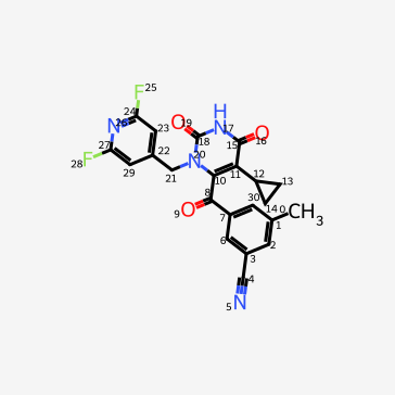 Cc1cc(C#N)cc(C(=O)c2c(C3CC3)c(=O)[nH]c(=O)n2Cc2cc(F)nc(F)c2)c1